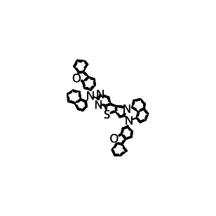 c1ccc2c(N(c3ccc4c(c3)oc3ccccc34)c3cc4sc5nc(N(c6ccc7c(c6)oc6ccccc67)c6cccc7ccccc67)ncc5c4cn3)cccc2c1